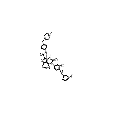 CN1CCN(Cc2ccc(NC(=O)c3sc4ncnc5c4c3NC(=O)N5c3ccc(OCc4cccc(F)c4)c(Cl)c3)cc2)CC1